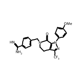 COc1ccc(-n2nc(C(F)(F)F)c3c2C(=O)N(Cc2ccc(C(=N)N)cc2)CC3)cc1